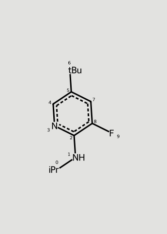 CC(C)Nc1ncc(C(C)(C)C)cc1F